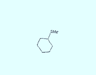 CSC1CCCCC1